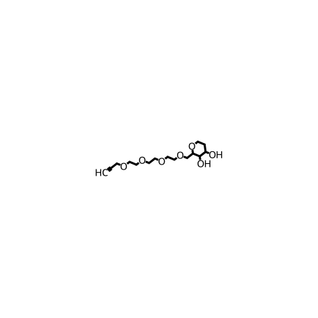 C#CCOCCOCCOCCOCC1OCCC(O)C1O